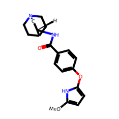 COc1ccc(Oc2ccc(C(=O)N[C@H]3CN4CCC3CC4)cc2)[nH]1